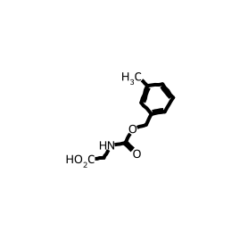 Cc1cccc(COC(=O)NCC(=O)O)c1